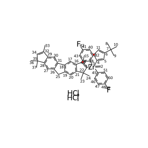 Cl.Cl.[CH2]=[Zr]([C]1=CC(C(C)(C)C)=CC1)([C]1=C(C)c2cc3c(cc2C1(C)C)Cc1cc2c(cc1-3)C(C)=CC2(C)C)([c]1ccc(F)cc1)[c]1ccc(F)cc1